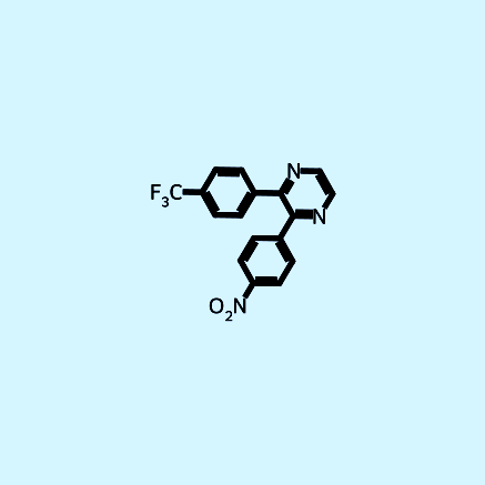 O=[N+]([O-])c1ccc(-c2nccnc2-c2ccc(C(F)(F)F)cc2)cc1